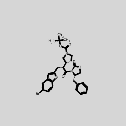 CC(C)(C)OC(=O)N1CC[C@H]([C@H](Cc2cc3cc(Br)ccc3s2)C(=O)N2C(=O)OC[C@@H]2Cc2ccccc2)C1